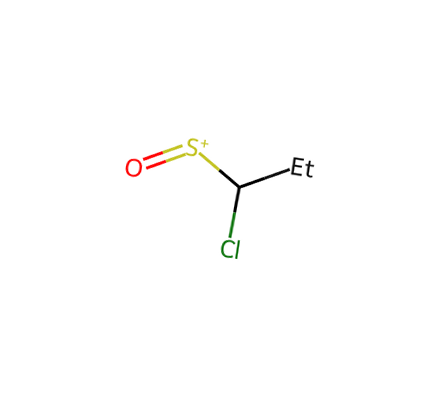 [CH2]CC(Cl)[S+]=O